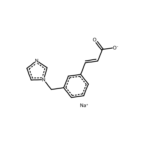 O=C([O-])/C=C/c1cccc(Cn2ccnc2)c1.[Na+]